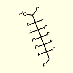 OC(F)C(F)(F)C(F)(F)C(F)(F)C(F)(F)C(F)(F)CF